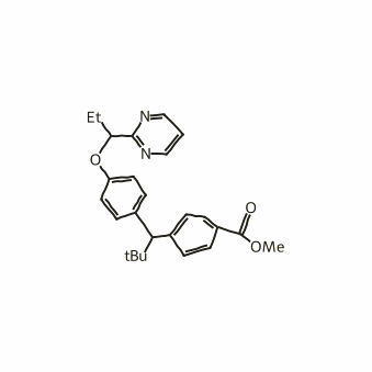 CCC(Oc1ccc(C(c2ccc(C(=O)OC)cc2)C(C)(C)C)cc1)c1ncccn1